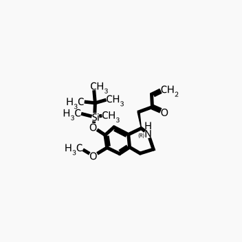 C=CC(=O)C[C@H]1NCCc2cc(OC)c(O[Si](C)(C)C(C)(C)C)cc21